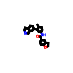 Cc1ccc(NC(=O)c2ccc3c(c2)CCO3)cc1-c1ccc2ccncc2c1